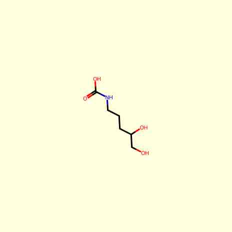 O=C(O)NCCCC(O)CO